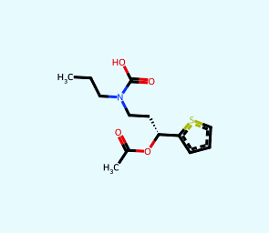 CCCN(CC[C@@H](OC(C)=O)c1cccs1)C(=O)O